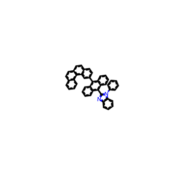 c1ccc(-n2c(-c3c4ccccc4c(-c4ccc5ccc6ccc7ccccc7c6c5c4)c4ccccc34)nc3ccccc32)cc1